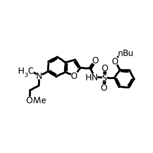 CCCCOc1ccccc1S(=O)(=O)NC(=O)c1cc2ccc(N(C)CCOC)cc2o1